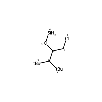 CC(C)(C)C(C(CCl)O[SiH3])C(C)(C)C